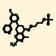 Cc1nc(N)nc2c1/C(=N/OCCCOS(C)(=O)=O)CC(c1ccc(F)cc1-c1cccnc1)C2